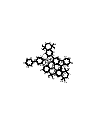 CC1(C)CCC(C)(C)c2cc(-c3cc4c5c6c3Bc3cccc7c3N6c3c(cc6c(c3C5(C)c3ccccc3-4)C(C)(C)CCC6(C)C)C7(C)C)c(Nc3ccc(-c4ccccc4)cc3)cc21